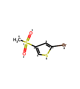 CS(=O)(=O)c1csc(Br)c1